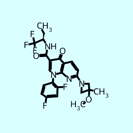 CC[C@@H](NC(=O)c1cn(-c2ccc(F)cc2F)c2nc(N3CC(C)(OC)C3)ccc2c1=O)C(F)(F)F